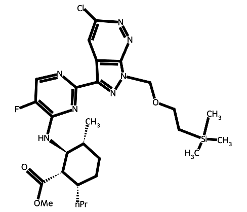 CCC[C@H]1CC[C@@H](C)[C@H](Nc2nc(-c3nn(COCC[Si](C)(C)C)c4nnc(Cl)cc34)ncc2F)[C@H]1C(=O)OC